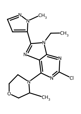 CCn1c(-c2ccnn2C)nc2c(N3CCOCC3C)nc(Cl)nc21